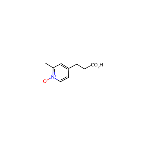 Cc1cc(CCC(=O)O)cc[n+]1[O-]